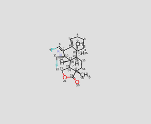 C[C@]12CCCC=C1C(=C/F)/C(=C/F)[C@@H]1[C@@H]2CC[C@]2(C)C(=O)OC[C@@H]12